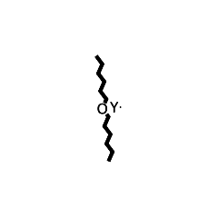 CCCCCCOCCCCCC.[Y]